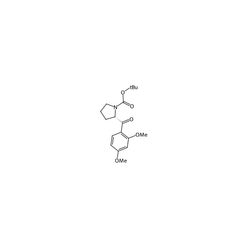 COc1ccc(C(=O)[C@@H]2CCCN2C(=O)OC(C)(C)C)c(OC)c1